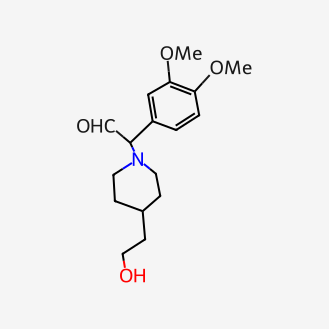 COc1ccc(C(C=O)N2CCC(CCO)CC2)cc1OC